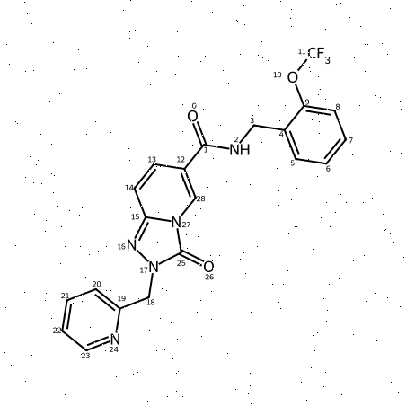 O=C(NCc1ccccc1OC(F)(F)F)c1ccc2nn(Cc3ccccn3)c(=O)n2c1